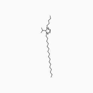 CCCCCCCCCCCCCCCCCN1C=CN(CCCCC)C1C(C)C